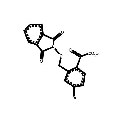 CCOC(=O)C(=O)c1ccc(Br)cc1CON1C(=O)c2ccccc2C1=O